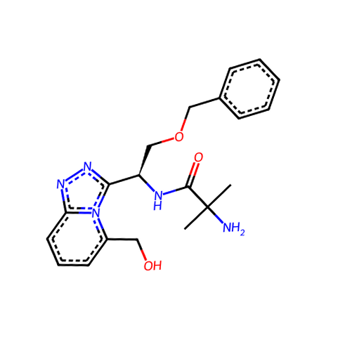 CC(C)(N)C(=O)N[C@H](COCc1ccccc1)c1nnc2cccc(CO)n12